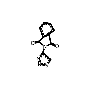 O=C1c2ccccc2C(=O)N1c1csnn1